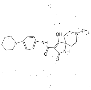 CN1CCC2(CC1)NC(=O)C(C(=O)Nc1ccc(N3CCCCC3)cc1)=C2O